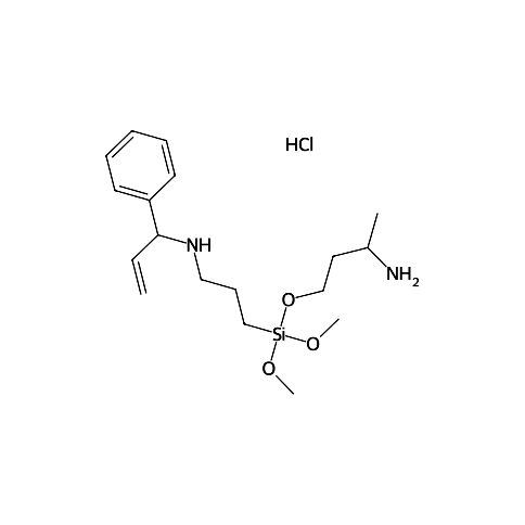 C=CC(NCCC[Si](OC)(OC)OCCC(C)N)c1ccccc1.Cl